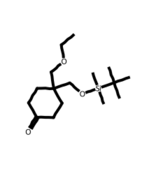 CCOCC1(CO[Si](C)(C)C(C)(C)C)CCC(=O)CC1